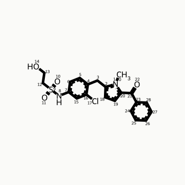 Cn1c(Cc2ccc(NS(=O)(=O)CCO)cc2Cl)ccc1C(=O)c1ccccc1